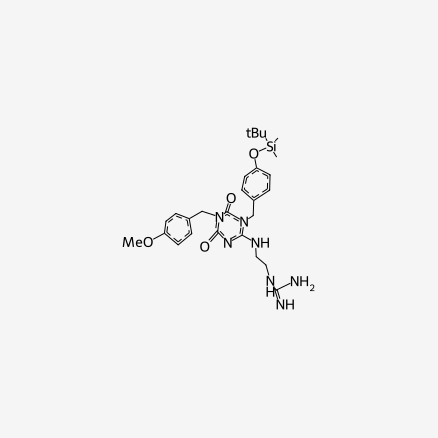 COc1ccc(Cn2c(=O)nc(NCCNC(=N)N)n(Cc3ccc(O[Si](C)(C)C(C)(C)C)cc3)c2=O)cc1